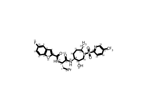 CC(C)C[C@H](NC(=O)c1cc2cc(F)ccc2o1)C(=O)N[C@H]1CC[C@@H](C)N(S(=O)(=O)c2ccc(C(F)(F)F)cn2)C[C@@H]1O